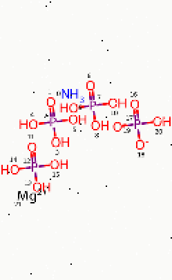 N.O=P(O)(O)O.O=P(O)(O)O.O=P(O)(O)O.O=P([O-])([O-])O.[Mg+2]